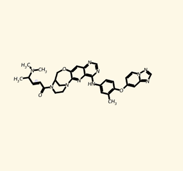 Cc1cc(Nc2ncnc3cc4c(nc23)N2CCN(C(=O)/C=C/C(C)N(C)C)C(CO4)C2)ccc1Oc1ccn2ncnc2c1